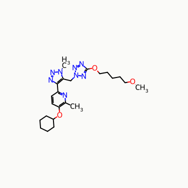 COCCCCCOc1nnn(Cc2c(-c3ccc(OC4CCCCC4)c(C)n3)nnn2C)n1